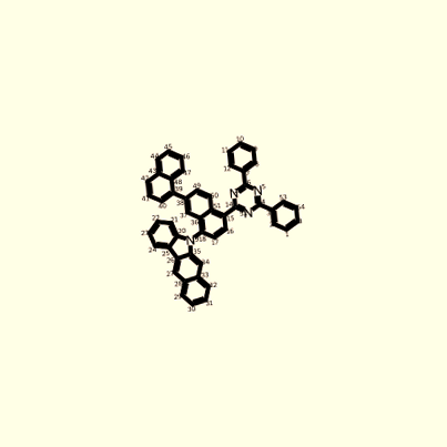 c1ccc(-c2nc(-c3ccccc3)nc(-c3ccc(-n4c5ccccc5c5cc6ccccc6cc54)c4cc(-c5cccc6ccccc56)ccc34)n2)cc1